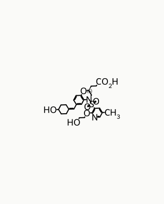 Cc1cnc(OCCO)c(S(=O)(=O)N2C[C@H](CCC(=O)O)Oc3ccc(C=C4CCC(O)CC4)cc32)c1